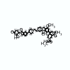 CNC(=O)N1CCc2c(-c3cc(OC)c(CN4CCN(CCN5CCC(c6ccc7c(c6)C(=O)N(C6CCC(=O)NC6=O)C7)CC5)CC4)c(OC)c3)cn(C)c(=O)c2C1